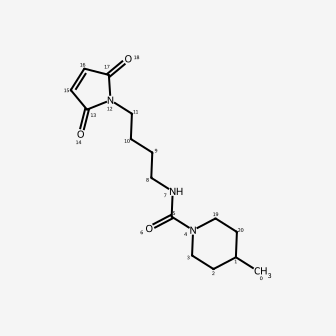 CC1CCN(C(=O)NCCCCN2C(=O)C=CC2=O)CC1